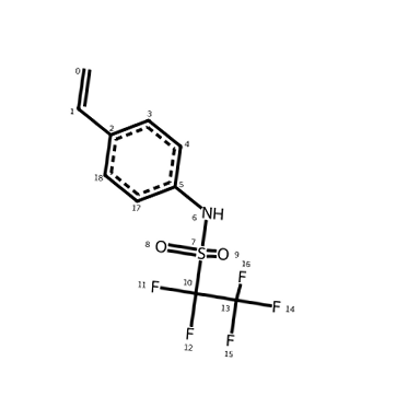 C=Cc1ccc(NS(=O)(=O)C(F)(F)C(F)(F)F)cc1